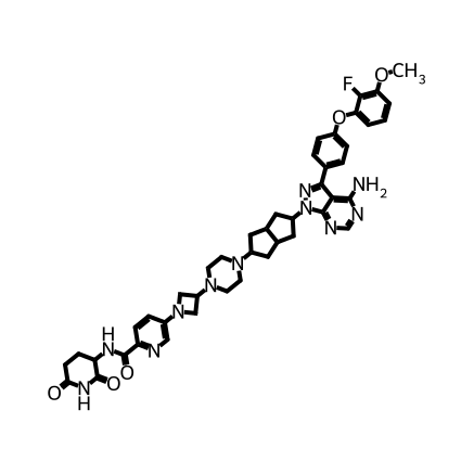 COc1cccc(Oc2ccc(-c3nn(C4CC5CC(N6CCN(C7CN(c8ccc(C(=O)NC9CCC(=O)NC9=O)nc8)C7)CC6)CC5C4)c4ncnc(N)c34)cc2)c1F